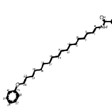 C=C(C)C(=O)NCCCCCCCCCCCCCCCCCCOc1ccccc1